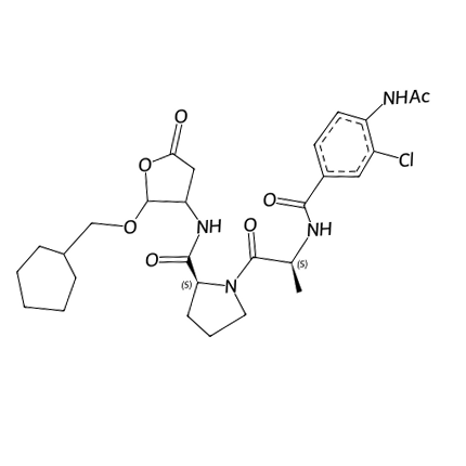 CC(=O)Nc1ccc(C(=O)N[C@@H](C)C(=O)N2CCC[C@H]2C(=O)NC2CC(=O)OC2OCC2CCCCC2)cc1Cl